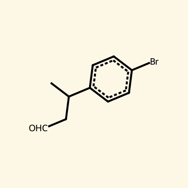 CC(CC=O)c1ccc(Br)cc1